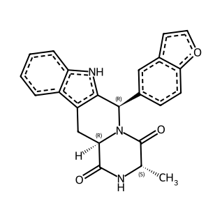 C[C@@H]1NC(=O)[C@H]2Cc3c([nH]c4ccccc34)[C@@H](c3ccc4occc4c3)N2C1=O